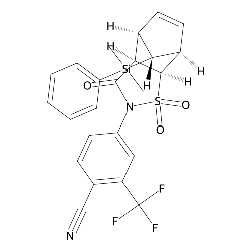 C[Si](C)(c1ccccc1)[C@@H]1[C@@H]2C=C[C@H]1[C@@H]1[C@H]2C(=O)N(c2ccc(C#N)c(C(F)(F)F)c2)S1(=O)=O